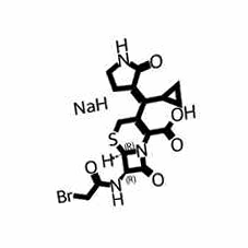 O=C(CBr)N[C@@H]1C(=O)N2C(C(=O)O)=C(C(=C3CCNC3=O)C3CC3)CS[C@H]12.[NaH]